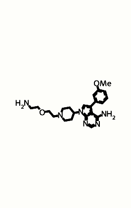 COc1cccc(-c2cn(C3CCN(CCOCCN)CC3)c3ncnc(N)c23)c1